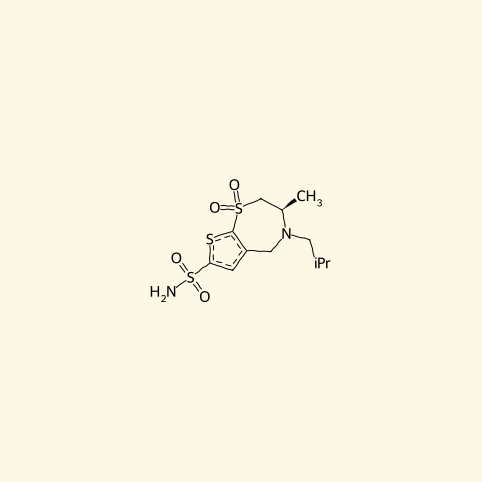 CC(C)CN1Cc2cc(S(N)(=O)=O)sc2S(=O)(=O)C[C@H]1C